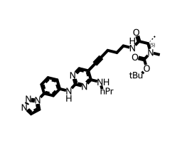 CCCNc1nc(Nc2cccc(-n3ccnn3)c2)ncc1C#CCCCNC(=O)[C@H](C)N(C)C(=O)OC(C)(C)C